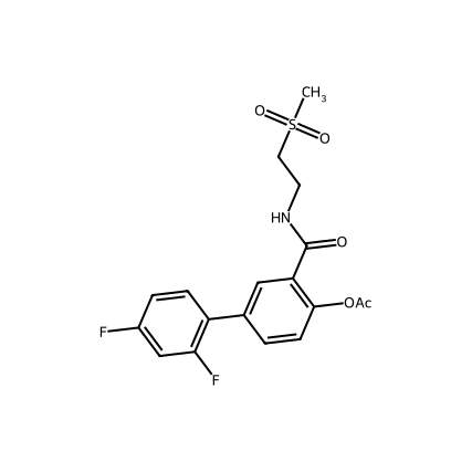 CC(=O)Oc1ccc(-c2ccc(F)cc2F)cc1C(=O)NCCS(C)(=O)=O